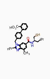 CCCc1nc2c(C)cc(C(=O)N[C@@H](CS)CC(C)C)cc2n1Cc1ccc(-c2ccccc2C(=O)O)cc1